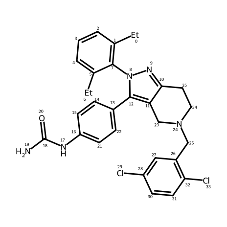 CCc1cccc(CC)c1-n1nc2c(c1-c1ccc(NC(N)=O)cc1)CN(Cc1cc(Cl)ccc1Cl)CC2